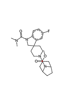 COC(=O)N1C2CCC1CC(N1CCC3(CC1)CN(C(=O)N(C)C)c1ccc(F)cc13)C2